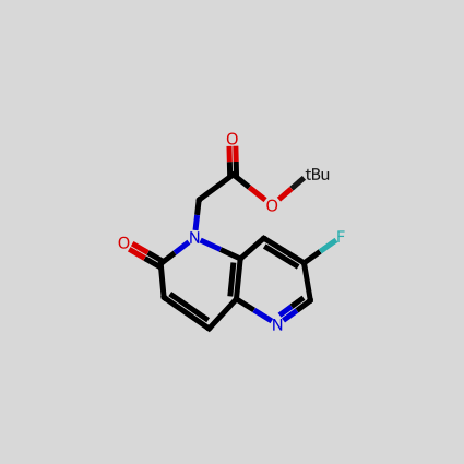 CC(C)(C)OC(=O)Cn1c(=O)ccc2ncc(F)cc21